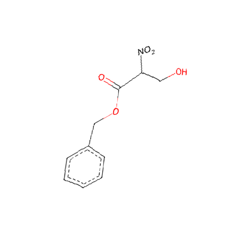 O=C(OCc1ccccc1)C(CO)[N+](=O)[O-]